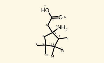 CC1C(N)(CC(=O)O)CC(C)(C)C1(C)C